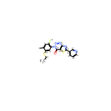 Cc1cc(F)c(-n2nnc3nc(-c4cccnc4)sc3c2=O)cc1SCC(F)(F)F